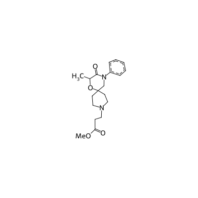 COC(=O)CCN1CCC2(CC1)CN(c1ccccc1)C(=O)C(C)O2